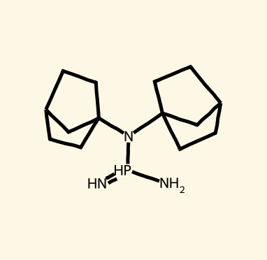 N=[PH](N)N(C12CCC(CC1)C2)C12CCC(CC1)C2